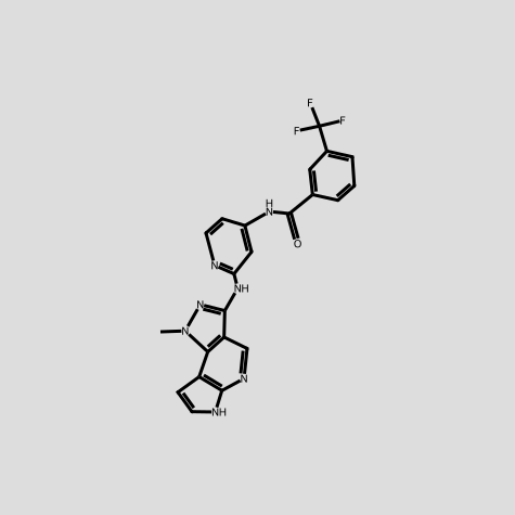 Cn1nc(Nc2cc(NC(=O)c3cccc(C(F)(F)F)c3)ccn2)c2cnc3[nH]ccc3c21